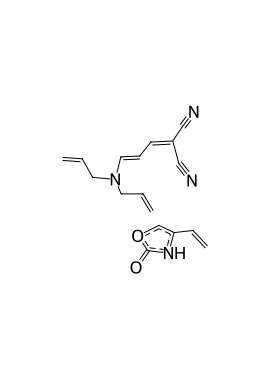 C=CCN(C=CC=C(C#N)C#N)CC=C.C=Cc1coc(=O)[nH]1